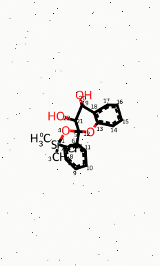 C[Si](C)(C)OC1(c2ccccc2)Oc2ccccc2C(O)C1O